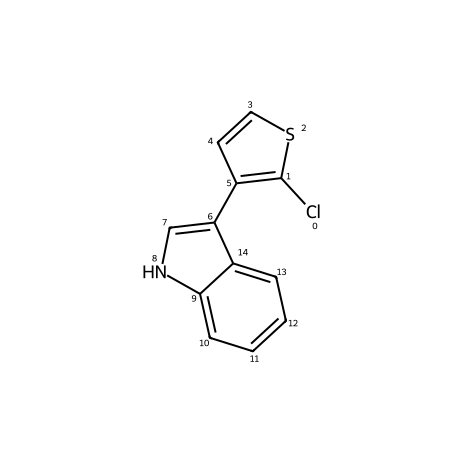 Clc1sccc1-c1c[nH]c2ccccc12